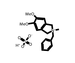 COc1cc2c(cc1OC)C[N+](C)(Cc1ccccc1)C2.O=S(=O)([O-])[O-].[H+]